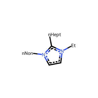 CCCCCCCCC[n+]1ccn(CC)c1CCCCCCC